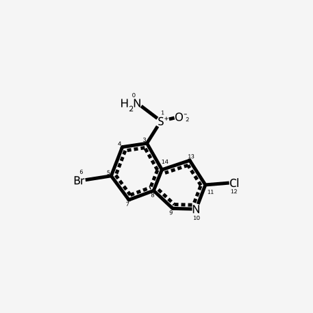 N[S+]([O-])c1cc(Br)cc2cnc(Cl)cc12